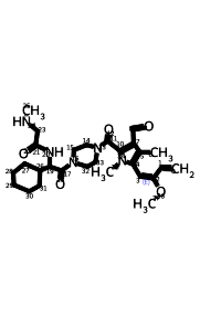 C=C/C(=C\c1c(C)c(C=O)c(C(=O)N2CCN(C(=O)C(NC(=O)CNC)C3CCCCC3)CC2)n1C)OC